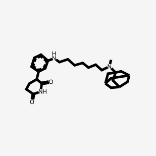 CN(CCCCCCCNc1cccc(C2CCC(=O)NC2=O)c1)C12CC3CC(CC(C3)C1)C2